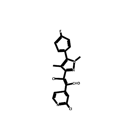 Cc1c(C(Cl)=C(C=O)c2ccnc(Cl)c2)nn(C)c1-c1ccc(F)cc1